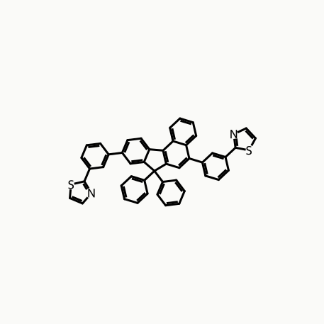 c1ccc(C2(c3ccccc3)c3cc(-c4cccc(-c5nccs5)c4)ccc3-c3c2cc(-c2cccc(-c4nccs4)c2)c2ccccc32)cc1